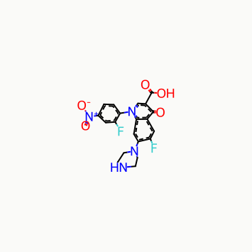 O=C(O)c1cn(-c2ccc([N+](=O)[O-])cc2F)c2cc(N3CCNCC3)c(F)cc2c1=O